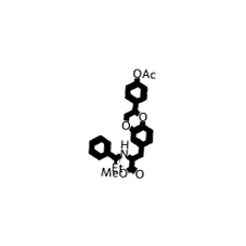 CC[C@H](NC(Cc1ccc2c(c1)OCC(c1ccc(OC(C)=O)cc1)O2)C(=O)OC)c1ccccc1